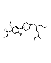 CCCC(CCC(C)CC)CN1CCN(c2cc(CC)c(C(=O)CC)cc2F)CC1